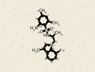 Cc1cc(C)c(S(=O)(=O)NC(C)Cn2cc(C)c3cccc(F)c32)c(N)c1